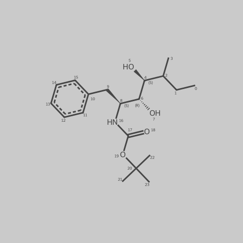 CCC(C)[C@H](O)[C@H](O)[C@H](Cc1ccccc1)NC(=O)OC(C)(C)C